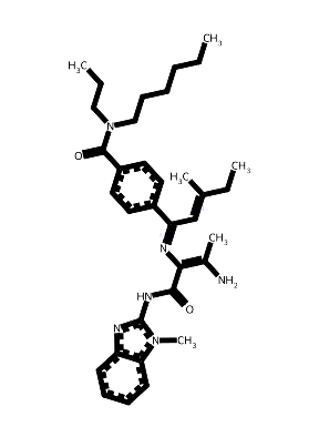 CCCCCCN(CCC)C(=O)c1ccc(C(/C=C(\C)CC)=N/C(C(=O)Nc2nc3ccccc3n2C)=C(\C)N)cc1